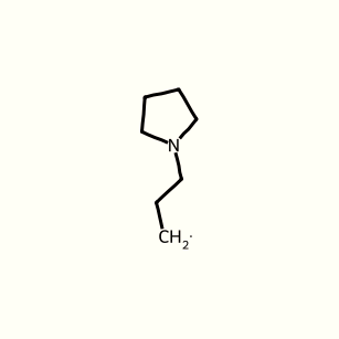 [CH2]CCN1CCCC1